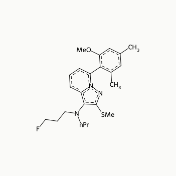 CCCN(CCCF)c1c(SC)nn2c(-c3c(C)cc(C)cc3OC)cccc12